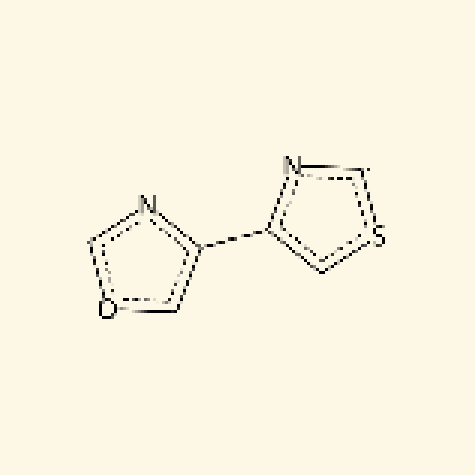 [c]1nc(-c2cocn2)cs1